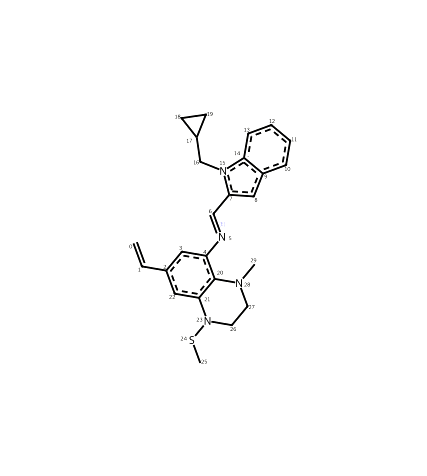 C=Cc1cc(/N=C/c2cc3ccccc3n2CC2CC2)c2c(c1)N(SC)CCN2C